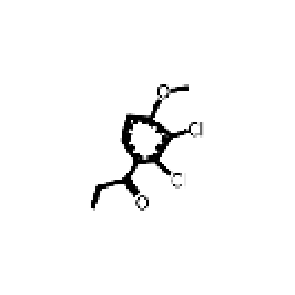 CCC(=O)c1ccc(OC)c(Cl)c1Cl